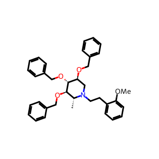 COc1ccccc1CCN1C[C@H](OCc2ccccc2)[C@@H](OCc2ccccc2)[C@H](OCc2ccccc2)[C@H]1C